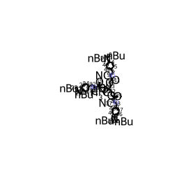 CCCCN(CCCC)c1ccc(/C=C(\C#N)C(=O)OCC(C)(COC(=O)/C(C#N)=C/c2ccc(N(CCCC)CCCC)cc2)COC(=O)/C(C#N)=C/c2ccc(N(CCCC)CCCC)cc2)cc1